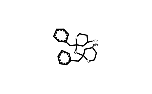 CCCC1CCOC(Cc2ccccc2)(OC2(Cc3ccccc3)CC(CCC)CCO2)C1